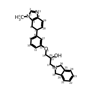 Cn1cnc2c1CC(c1cccc(OC[C@@H](O)CN3Cc4ccccc4C3)c1)C=C2